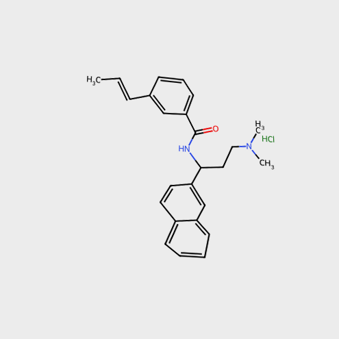 CC=Cc1cccc(C(=O)NC(CCN(C)C)c2ccc3ccccc3c2)c1.Cl